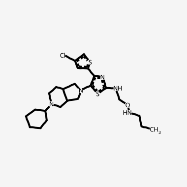 CCCNOCNc1nc(-c2cc(Cl)cs2)c(N2CC3CCN(C4CCCCC4)CC3C2)s1